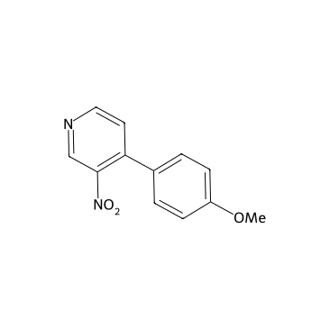 COc1ccc(-c2ccncc2[N+](=O)[O-])cc1